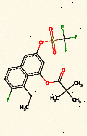 CCc1c(F)ccc2cc(OS(=O)(=O)C(F)(F)F)cc(OC(=O)C(C)(C)C)c12